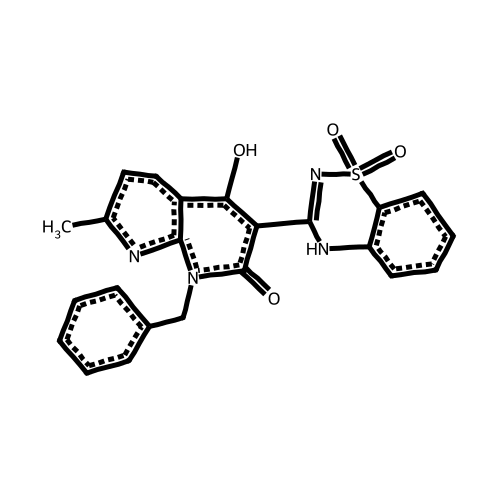 Cc1ccc2c(O)c(C3=NS(=O)(=O)c4ccccc4N3)c(=O)n(Cc3ccccc3)c2n1